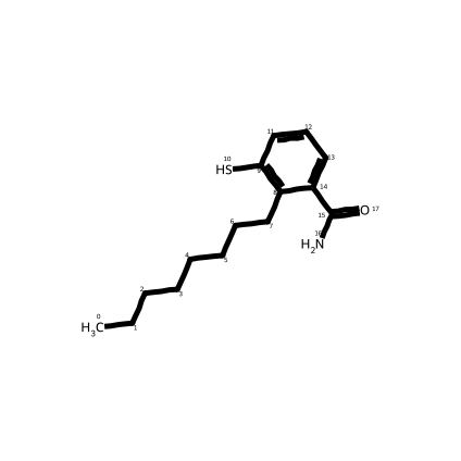 CCCCCCCCc1c(S)cccc1C(N)=O